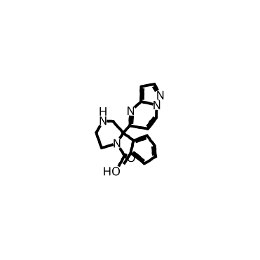 Cc1ccccc1C1(c2ccn3nccc3n2)CNCCN1C(=O)O